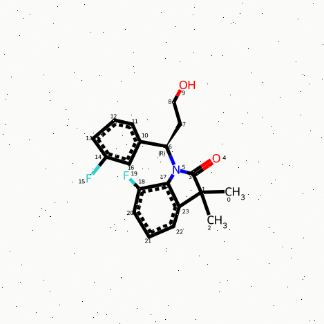 CC1(C)C(=O)N([C@H](CCO)c2cccc(F)c2)c2c(F)cccc21